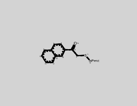 CCCCCSCC(=O)c1ccc2ccccc2c1